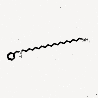 [SiH3]CCCCCCCCCCCCCCCCCCCNCc1ccccc1